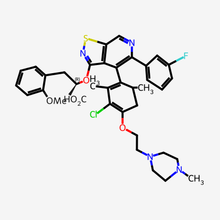 COc1ccccc1C[C@@H](Oc1nsc2cnc(-c3cccc(F)c3)c(C3=C(C)C(Cl)=C(OCCN4CCN(C)CC4)CC3C)c12)C(=O)O